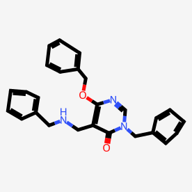 O=c1c(CNCc2ccccc2)c(OCc2ccccc2)ncn1Cc1ccccc1